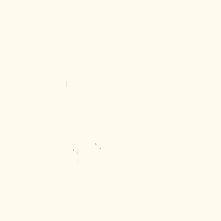 Cc1c[nH]nc1-c1ccccc1